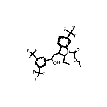 CCOC(=O)N1c2cc(C(F)(F)F)ccc2C(CC(O)c2cc(C(F)(F)F)cc(C(F)(F)F)c2)C1CC